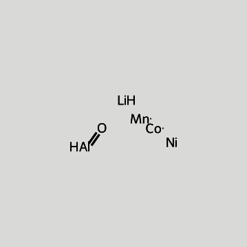 [Co].[LiH].[Mn].[Ni].[O]=[AlH]